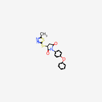 Cc1nnc(SC2CC(=O)N(c3ccc(Oc4ccccc4)cc3)C2=O)s1